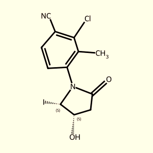 Cc1c(N2C(=O)C[C@H](O)[C@@H]2I)ccc(C#N)c1Cl